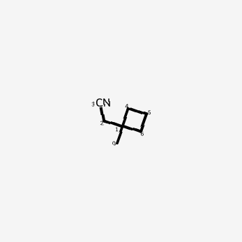 CC1(CC#N)CCC1